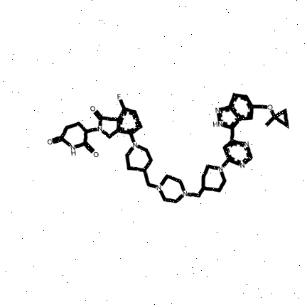 CC1(Oc2ccc3n[nH]c(-c4cc(N5CCC(CN6CCN(CC7CCN(c8ccc(F)c9c8CN(C8CCC(=O)NC8=O)C9=O)CC7)CC6)CC5)ncn4)c3c2)CC1